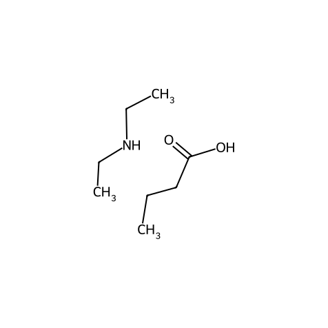 CCCC(=O)O.CCNCC